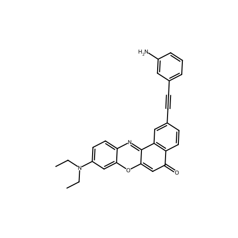 CCN(CC)c1ccc2nc3c4cc(C#Cc5cccc(N)c5)ccc4c(=O)cc-3oc2c1